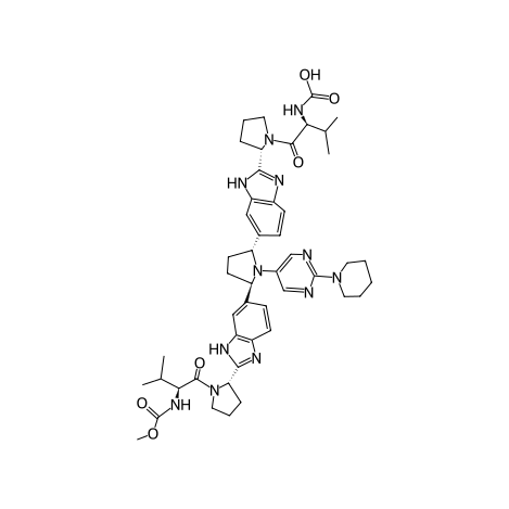 COC(=O)N[C@H](C(=O)N1CCC[C@H]1c1nc2ccc([C@H]3CC[C@H](c4ccc5nc([C@@H]6CCCN6C(=O)[C@@H](NC(=O)O)C(C)C)[nH]c5c4)N3c3cnc(N4CCCCC4)nc3)cc2[nH]1)C(C)C